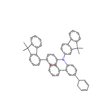 CC1(C)c2ccccc2-c2ccc(N(c3ccc(-c4cccc5c4-c4ccccc4C5(C)C)cc3)c3ccc(C4C=CC=CC4)cc3-c3ccccc3)cc21